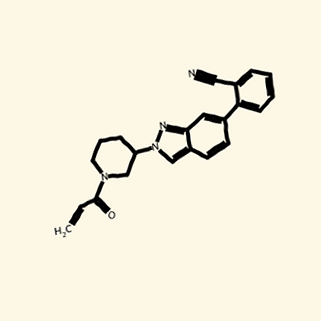 C=CC(=O)N1CCCC(n2cc3ccc(-c4ccccc4C#N)cc3n2)C1